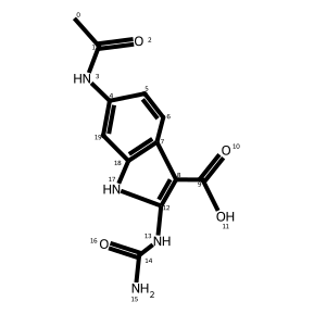 CC(=O)Nc1ccc2c(C(=O)O)c(NC(N)=O)[nH]c2c1